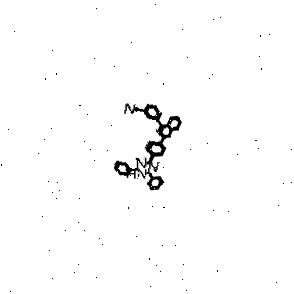 N#Cc1cccc(-c2cc(-c3ccc(C4=NC(c5ccccc5)NC(c5ccccc5)=N4)cc3)cc3ccccc23)c1